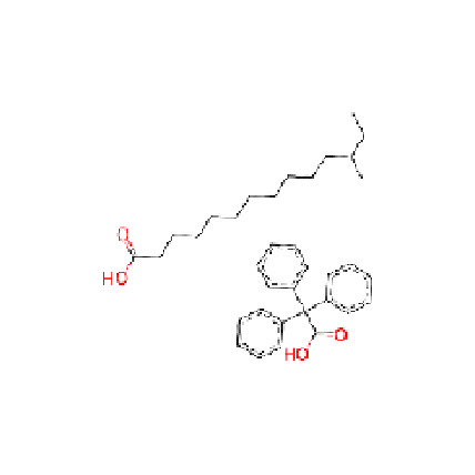 CCC(C)CCCCCCCCCCC(=O)O.O=C(O)C(c1ccccc1)(c1ccccc1)c1ccccc1